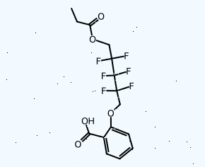 CCC(=O)OCC(F)(F)C(F)(F)C(F)(F)COc1ccccc1C(=O)O